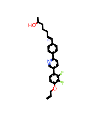 C=CCOc1ccc(-c2ccc(-c3ccc(/C=C/CCCC(C)O)cc3)nc2)c(F)c1F